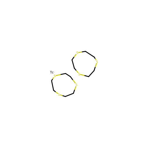 C1CSCCSCCS1.C1CSCCSCCS1.[Tc]